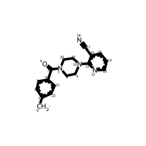 [CH2]c1ccc(C(=O)N2CCN(c3ncccc3C#N)CC2)cc1